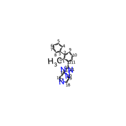 Cc1c(-c2ccccc2)cccc1-c1nc2cnccn2n1